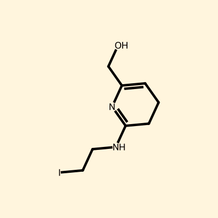 OCC1=CCCC(NCCI)=N1